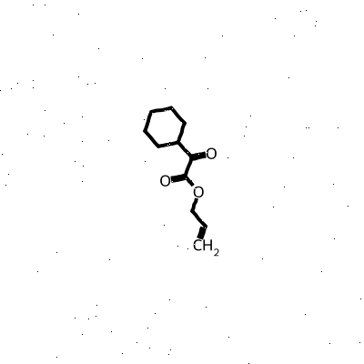 C=CCOC(=O)C(=O)C1CCCCC1